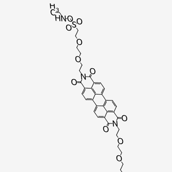 CCCOCCOCCN1C(=O)c2ccc3c4ccc5c6c(ccc(c7ccc(c2c37)C1=O)c64)C(=O)N(CCOCCOCCS(=O)(=O)ONCC)C5=O